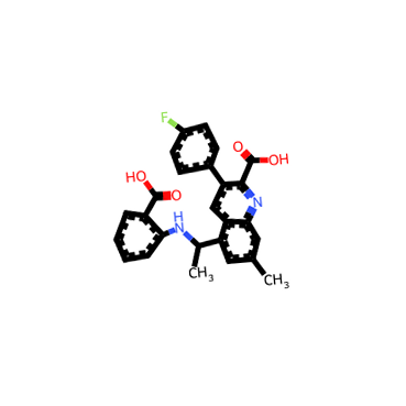 Cc1cc(C(C)Nc2ccccc2C(=O)O)c2cc(-c3ccc(F)cc3)c(C(=O)O)nc2c1